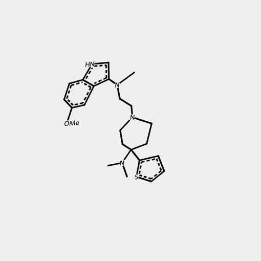 COc1ccc2[nH]cc(N(C)CCN3CCC(c4cccs4)(N(C)C)CC3)c2c1